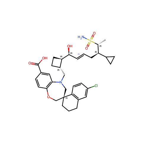 C[C@H]([C@H](C/C=C/[C@H](O)[C@@H]1CC[C@H]1CN1C[C@@]2(CCCc3cc(Cl)ccc32)COc2ccc(C(=O)O)cc21)C1CC1)S(N)(=O)=O